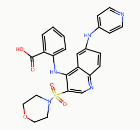 O=C(O)c1ccccc1Nc1c(S(=O)(=O)N2CCOCC2)cnc2ccc(Nc3ccncc3)cc12